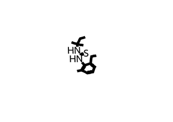 CCc1cccc(C)c1NC(=S)NC(C)(C)CC